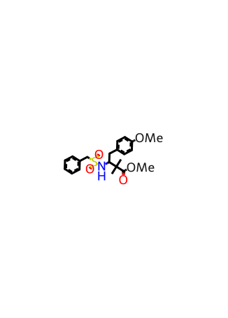 COC(=O)C(C)(C)C(Cc1ccc(OC)cc1)NS(=O)(=O)Cc1ccccc1